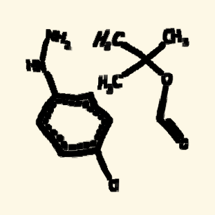 CC(C)(C)OC=O.NNc1ccc(Cl)cc1